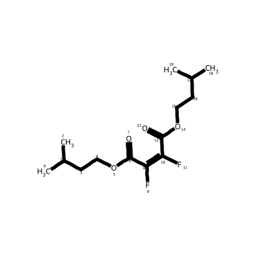 CC(C)CCOC(=O)/C(F)=C(/F)C(=O)OCCC(C)C